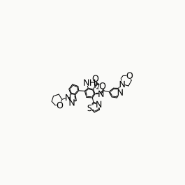 Nc1c(-c2cccc3c2cnn3C2CCCCO2)cc(-c2nccs2)c2nc(-c3ccnc(N4CCOCC4)c3)oc(=O)c12